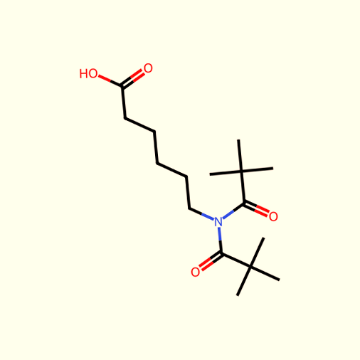 CC(C)(C)C(=O)N(CCCCCC(=O)O)C(=O)C(C)(C)C